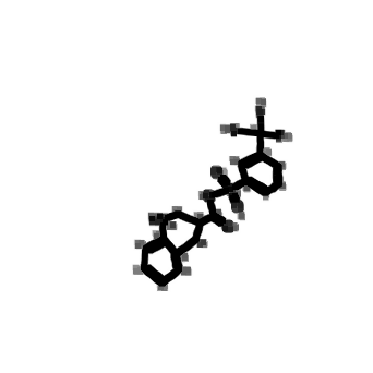 O=C(OS(=O)(=O)c1cccc(C(F)(F)F)c1)C1CNc2ccccc2C1